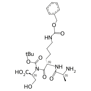 C[C@H](N)C(=O)N[C@@H](CCCCNC(=O)OCc1ccccc1)C(=O)N(C(=O)OC(C)(C)C)[C@@H](CO)C(=O)O